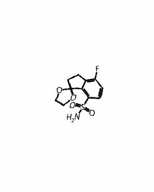 NS(=O)(=O)c1ccc(F)c2c1C1(CC2)OCCO1